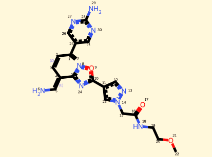 C=C(/C=C\C(=C/N)c1noc(-c2cnn(CC(=O)NCCOC)c2)n1)c1cnc(N)nc1